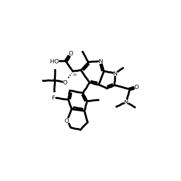 Cc1nc2c(cc(C(=O)N(C)C)n2C)c(-c2cc(F)c3c(c2C)CCCO3)c1[C@H](OC(C)(C)C)C(=O)O